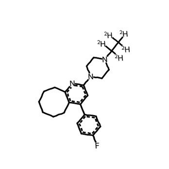 [2H]C([2H])([2H])C([2H])([2H])N1CCN(c2cc(-c3ccc(F)cc3)c3c(n2)CCCCCC3)CC1